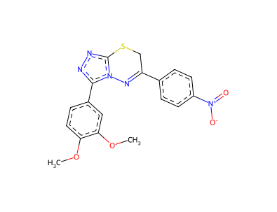 COc1ccc(-c2nnc3n2N=C(c2ccc([N+](=O)[O-])cc2)CS3)cc1OC